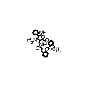 CCc1ccc(OCC(=O)C(CNC(=O)CCc2ccccc2OC)C(N)c2c[nH]c3ccccc23)cc1